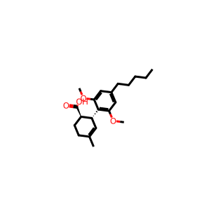 CCCCCc1cc(OC)c([C@@H]2C=C(C)CC[C@H]2C(=O)O)c(OC)c1